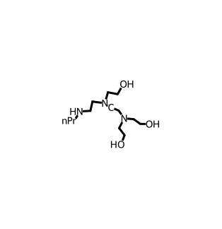 CCCNCCN(CCO)CCN(CCO)CCO